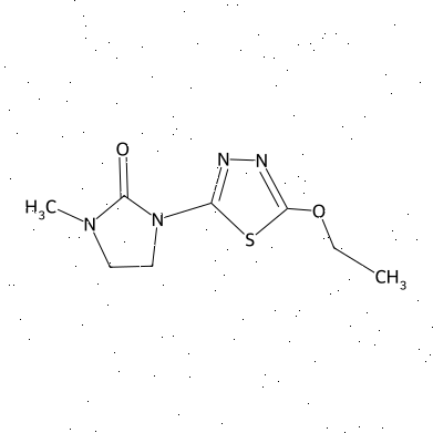 CCOc1nnc(N2CCN(C)C2=O)s1